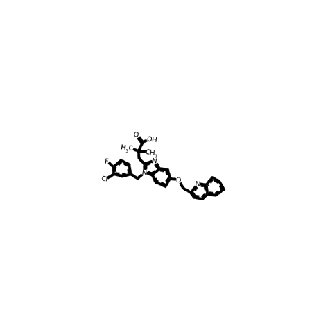 CC(C)(Cc1nc2cc(OCc3ccc4ccccc4n3)ccc2n1Cc1ccc(F)c(Cl)c1)C(=O)O